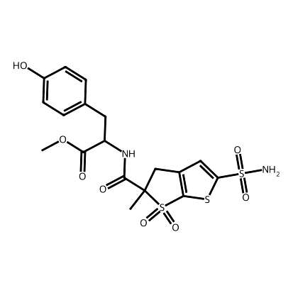 COC(=O)C(Cc1ccc(O)cc1)NC(=O)C1(C)Cc2cc(S(N)(=O)=O)sc2S1(=O)=O